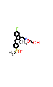 CC1=C(CC=NOCCO)c2cc(F)ccc2C1Cc1ccc([S+](C)[O-])cc1